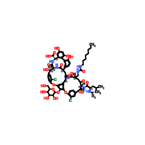 CCCCCCCCNC(=O)NC[C@@H]1CC(=O)[C@H](NC(=O)[C@@H](CC(C)C)NC)[C@H](O)c2ccc(c(Cl)c2)Oc2cc3cc(c2OC2OC(CO)C(O)C(O)C2O)Oc2ccc(cc2Cl)[C@@H](O)[C@@H]2NC(=O)[C@H](CC(=O)[C@@H]3NC1=O)c1ccc(O)c(c1)-c1c(O)cc(O)cc1[C@@H](C(=O)O)NC2=O